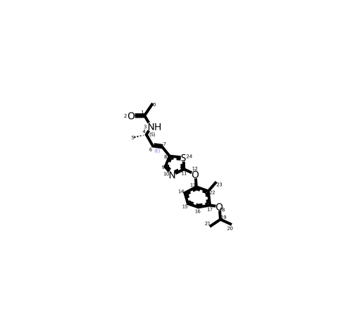 CC(=O)N[C@@H](C)/C=C/c1cnc(Oc2cccc(OC(C)C)c2C)s1